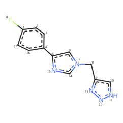 Fc1ccc(-c2cn(Cc3c[nH]nn3)cn2)cc1